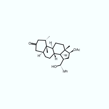 CCC[C@H](O)[C@@H]1C[C@H](OC(C)=O)[C@@]2(C)CC[C@H]3[C@@H](CC[C@H]4CC(=O)C[C@H](C)[C@@]43C)[C@H]12